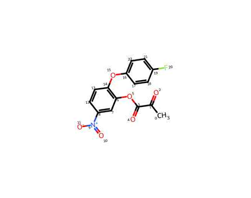 CC(=O)C(=O)Oc1cc([N+](=O)[O-])ccc1Oc1ccc(F)cc1